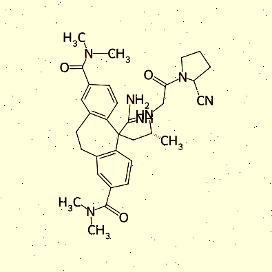 C[C@H](CC1(C(=N)N)c2ccc(C(=O)N(C)C)cc2CCc2cc(C(=O)N(C)C)ccc21)NCC(=O)N1CCCC1C#N